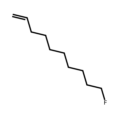 C=CCCCCCCCCF